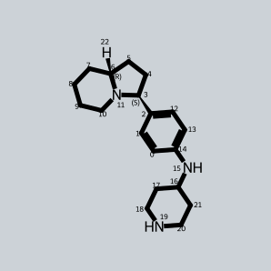 c1cc([C@@H]2CC[C@H]3CCCCN32)ccc1NC1CCNCC1